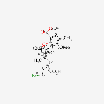 COc1c(C)c2c(c(O[Si](C)(C)C(C)(C)C)c1CC=C(C)CC(CCBr)C(=O)O)C(=O)OC2